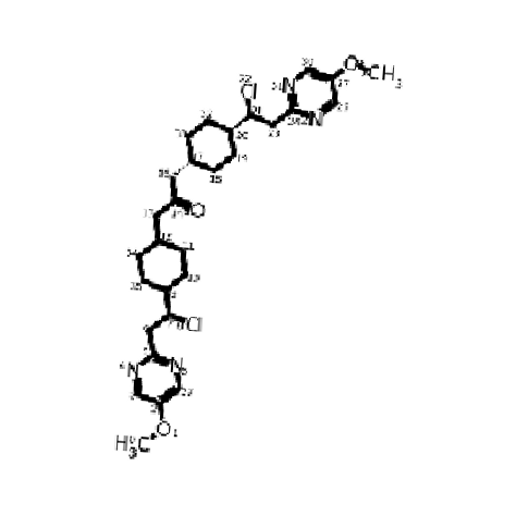 COc1cnc(CC(Cl)C2CCC(CC(=O)C[C@H]3CC[C@H](C(Cl)Cc4ncc(OC)cn4)CC3)CC2)nc1